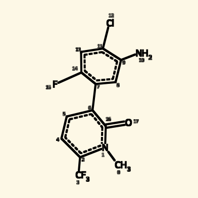 Cn1c(C(F)(F)F)ccc(-c2cc(N)c(Cl)cc2F)c1=O